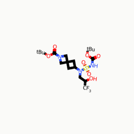 CC(C)(C)OC(=O)NS(=O)(=O)N(CC(O)C(F)(F)F)C1CC2(C1)CN(C(=O)OC(C)(C)C)C2